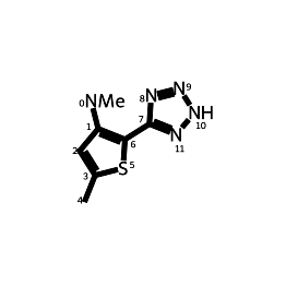 CNc1cc(C)sc1-c1nn[nH]n1